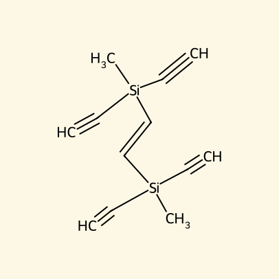 C#C[Si](C)(C#C)C=C[Si](C)(C#C)C#C